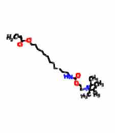 C=CC(=O)OCCCCCCCCCCCCNC(=O)OCCN1C(C)(C)C1(C)C